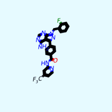 Nc1ncnc2c1c(-c1ccc(C(=O)Nc3cc(C(F)(F)F)ccn3)cc1)nn2Cc1ccccc1F